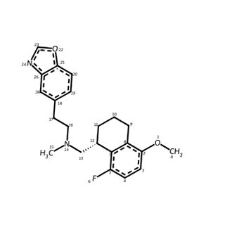 COc1ccc(F)c2c1CCC[C@H]2CN(C)CCc1ccc2ocnc2c1